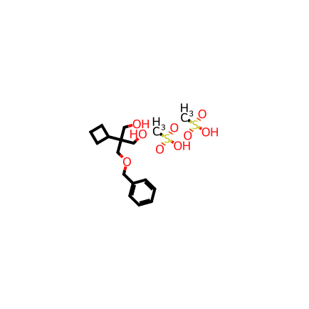 CS(=O)(=O)O.CS(=O)(=O)O.OCC(CO)(COCc1ccccc1)C1CCC1